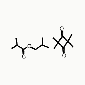 CC(C)COC(=O)C(C)C.CC1(C)C(=O)C(C)(C)C1=O